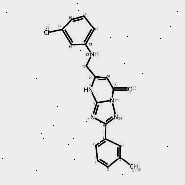 Cc1cccc(-c2nc3[nH]c(CNc4cccc(Cl)c4)cc(=O)n3n2)c1